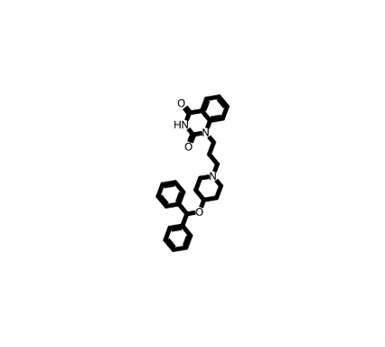 O=c1[nH]c(=O)n(CCCN2CCC(OC(c3ccccc3)c3ccccc3)CC2)c2ccccc12